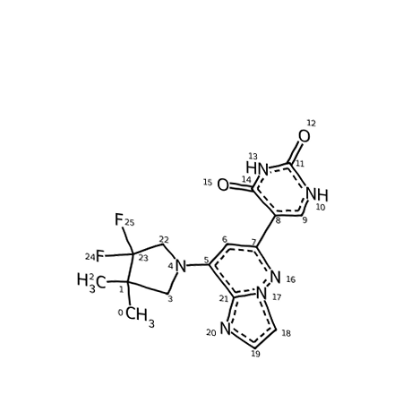 CC1(C)CN(c2cc(-c3c[nH]c(=O)[nH]c3=O)nn3ccnc23)CC1(F)F